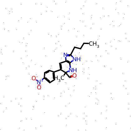 CCCCc1nc2c([nH]1)NC(C)(C=O)C(c1ccc([N+](=O)[O-])cc1)=C2